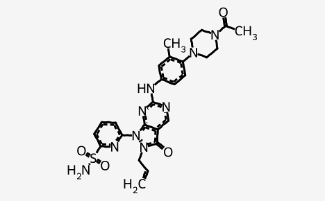 C=CCn1c(=O)c2cnc(Nc3ccc(N4CCN(C(C)=O)CC4)c(C)c3)nc2n1-c1cccc(S(N)(=O)=O)n1